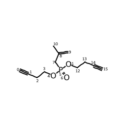 C#CCCOP(=O)(CC(=C)C)OCCC#C